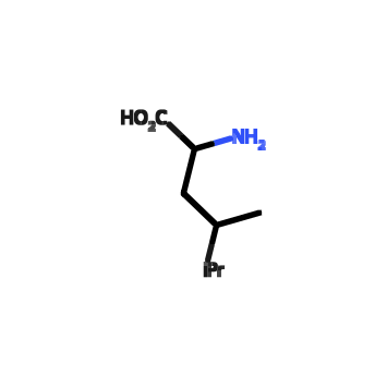 CC(C)C(C)CC(N)C(=O)O